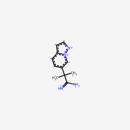 CC(C)(C(=N)N)c1ccc2ccnn2c1